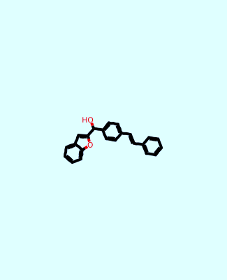 OC(c1ccc(C=Cc2ccccc2)cc1)c1cc2ccccc2o1